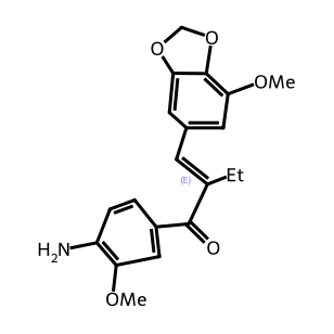 CC/C(=C\c1cc(OC)c2c(c1)OCO2)C(=O)c1ccc(N)c(OC)c1